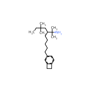 CCC(C)(C)CC(CCCCCc1ccc2c(c1)CC2)C(C)(C)N